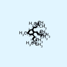 Cc1cc(C=C[Si](C)(C)C)c(C=C[Si](C)(C)C)c(C=C[Si](C)(C)C)c1